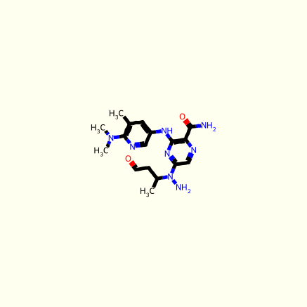 Cc1cc(Nc2nc(N(N)C(C)CC=O)cnc2C(N)=O)cnc1N(C)C